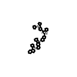 c1ccc(-n2c3ccccc3c3cc(-c4nc(-c5ccc6ccc(-n7c8ccccc8c8cc9c(-n%10c%11ccccc%11c%11c%12ccccc%12ccc%11%10)cccc9cc87)cc6c5)nc5ccccc45)ccc32)cc1